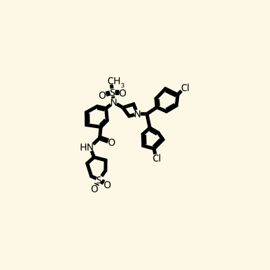 CS(=O)(=O)N(c1cccc(C(=O)NC2CCS(=O)(=O)CC2)c1)C1CN(C(c2ccc(Cl)cc2)c2ccc(Cl)cc2)C1